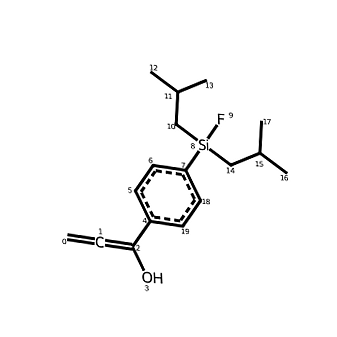 C=C=C(O)c1ccc([Si](F)(CC(C)C)CC(C)C)cc1